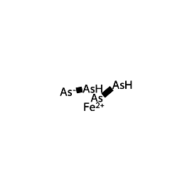 [As-]=[AsH].[As-]=[AsH].[Fe+2]